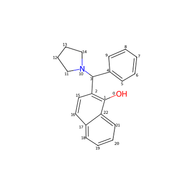 Oc1c(C(c2ccccc2)N2CCCC2)ccc2ccccc12